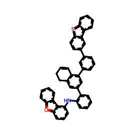 C1=Cc2c(cc(-c3ccccc3Nc3cccc4oc5ccccc5c34)cc2-c2cccc(-c3ccc4sc5ccccc5c4c3)c2)CC1